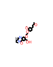 COc1cc(/C=C/C(C)=O)ccc1OCCOc1cc2c(cc1CO)C(=O)N1CCC[C@@H]1C=N2